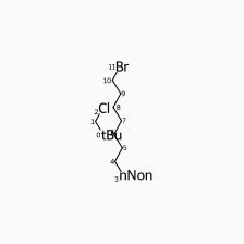 CC(C)(C)CCl.CCCCCCCCCCCCCCCCBr